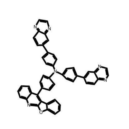 c1ccc2c(-c3ccc(N(c4ccc(-c5ccc6nccnc6c5)cc4)c4ccc(-c5ccc6nccnc6c5)cc4)cc3)c3c(nc2c1)oc1ccccc13